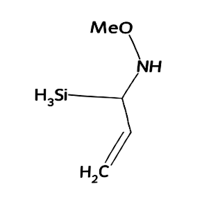 C=CC([SiH3])NOC